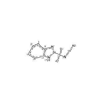 [N-]=[N+]=NS(=O)(=O)c1nc2ccccc2[nH]1